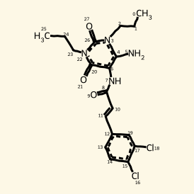 CCCn1c(N)c(NC(=O)C=Cc2ccc(Cl)c(Cl)c2)c(=O)n(CCC)c1=O